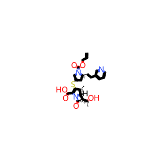 C=CCOC(=O)N1C[C@@H](SC2=C(C(=O)O)N3C(=O)[C@H]([C@@H](C)O)[C@H]3[C@H]2C)C[C@H]1CCc1cccnc1